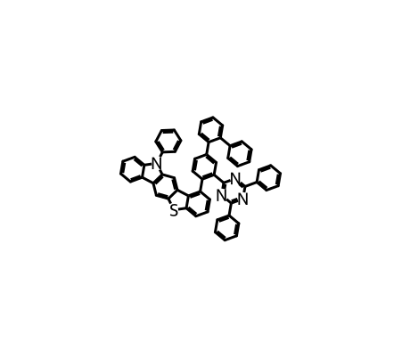 c1ccc(-c2nc(-c3ccccc3)nc(-c3cc(-c4ccccc4-c4ccccc4)ccc3-c3cccc4sc5cc6c7ccccc7n(-c7ccccc7)c6cc5c34)n2)cc1